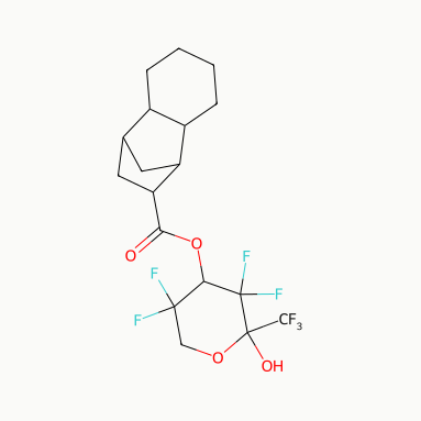 O=C(OC1C(F)(F)COC(O)(C(F)(F)F)C1(F)F)C1CC2CC1C1CCCCC21